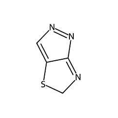 C1=C2SCN=C2N=N1